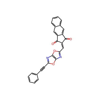 O=C1C(=Cc2nc3oc(C#Cc4ccccc4)nc3o2)C(=O)c2cc3ccccc3cc21